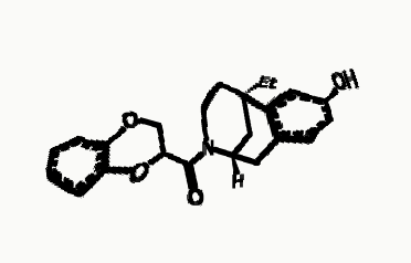 CC[C@]12CCN(C(=O)C3COc4ccccc4O3)[C@@H](Cc3ccc(O)cc31)C2